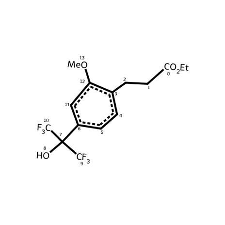 CCOC(=O)CCc1ccc(C(O)(C(F)(F)F)C(F)(F)F)cc1OC